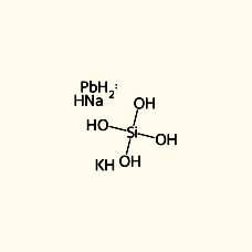 O[Si](O)(O)O.[KH].[NaH].[PbH2]